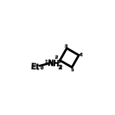 CCN.[CH]1CCC1